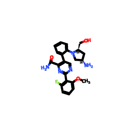 COc1cccc(F)c1-c1ncc(-c2ccccc2N2C[C@@H](N)C[C@H]2CO)c(C(N)=O)n1